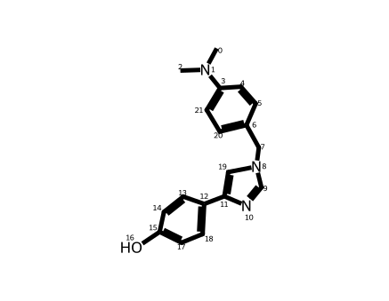 CN(C)c1ccc(Cn2cnc(-c3ccc(O)cc3)c2)cc1